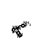 Cc1cccc(-c2[nH]c(Cc3ccc(F)c(N)c3)nc2-c2ccc3nccnc3c2)n1